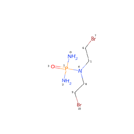 NP(N)(=O)N(CCBr)CCBr